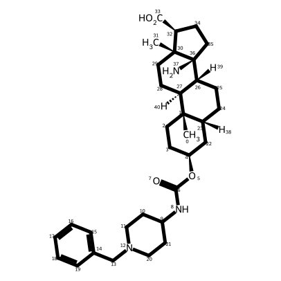 C[C@]12CC[C@H](OC(=O)NC3CCN(Cc4ccccc4)CC3)C[C@H]1CC[C@@H]1[C@@H]2CC[C@]2(C)[C@@H](C(=O)O)CC[C@]12N